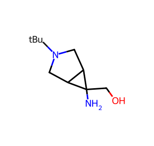 CC(C)(C)N1CC2C(C1)C2(N)CO